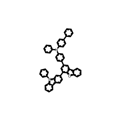 c1ccc(-c2ccc(N(c3ccccc3)c3ccc(-c4cc(-c5ccc6c7ccccc7n(-c7ccccc7)c6c5)c5oc6ccccc6c5c4)cc3)cc2)cc1